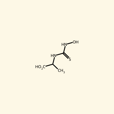 CC(NC(=S)NO)C(=O)O